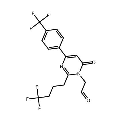 O=CCn1c(CCCC(F)(F)F)nc(-c2ccc(C(F)(F)F)cc2)cc1=O